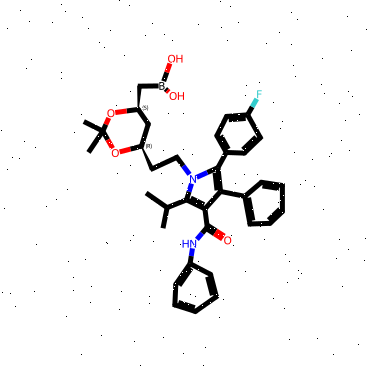 CC(C)c1c(C(=O)Nc2ccccc2)c(-c2ccccc2)c(-c2ccc(F)cc2)n1CC[C@@H]1C[C@H](CB(O)O)OC(C)(C)O1